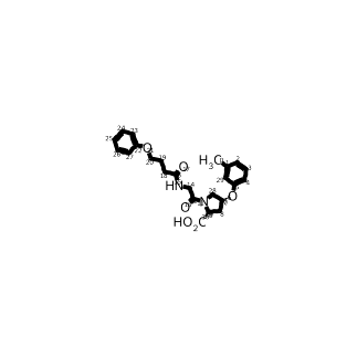 Cc1cccc(O[C@@H]2C[C@@H](C(=O)O)N(C(=O)CNC(=O)CCCOc3ccccc3)C2)c1